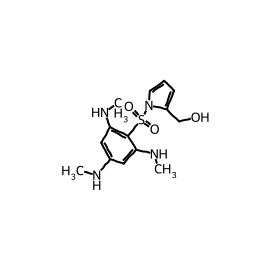 CNc1cc(NC)c(S(=O)(=O)n2cccc2CO)c(NC)c1